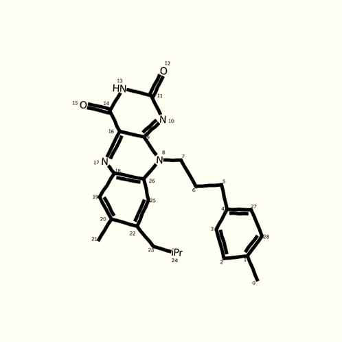 Cc1ccc(CCCn2c3nc(=O)[nH]c(=O)c-3nc3cc(C)c(CC(C)C)cc32)cc1